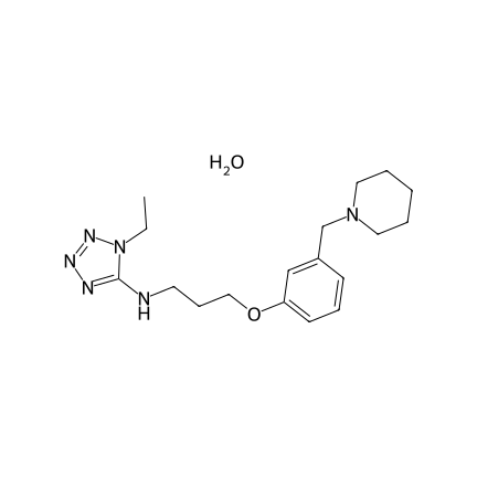 CCn1nnnc1NCCCOc1cccc(CN2CCCCC2)c1.O